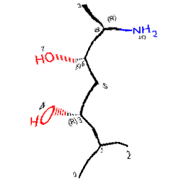 CC(C)[C@H](O)C[C@H](O)[C@@H](C)N